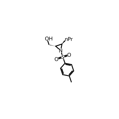 CCC[C@@H]1[C@@H](CO)N1S(=O)(=O)c1ccc(C)cc1